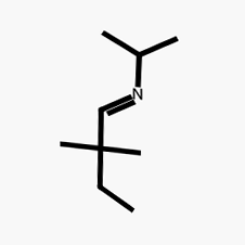 CCC(C)(C)/C=N/C(C)C